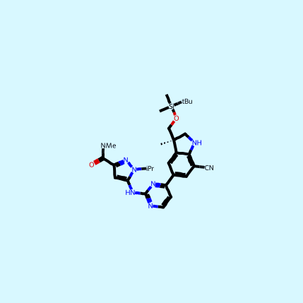 CNC(=O)c1cc(Nc2nccc(-c3cc(C#N)c4c(c3)[C@@](C)(CO[Si](C)(C)C(C)(C)C)CN4)n2)n(C(C)C)n1